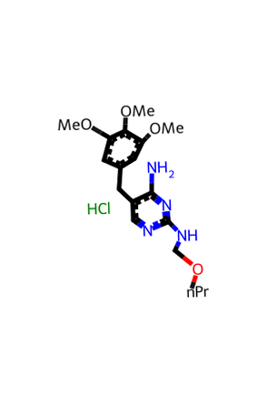 CCCOCNc1ncc(Cc2cc(OC)c(OC)c(OC)c2)c(N)n1.Cl